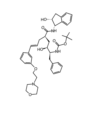 CC(C)(C)OC(=O)N[C@@H](Cc1ccccc1)[C@@H](O)C[C@@H](CC=Cc1cccc(OCCN2CCOCC2)c1)C(=O)N[C@H]1c2ccccc2C[C@H]1O